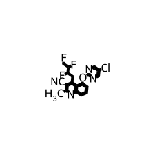 Cc1nc2cccc(Oc3ncc(Cl)cn3)c2c(CC(F)C(F)CF)c1C#N